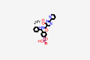 CCCC.O=C(NC(c1ccccc1)c1ccc(O[PH](=O)O)cc1)c1cnc(-c2ccccn2)nc1O